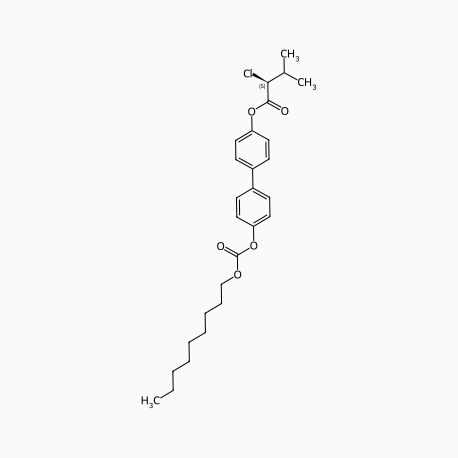 CCCCCCCCCOC(=O)Oc1ccc(-c2ccc(OC(=O)[C@@H](Cl)C(C)C)cc2)cc1